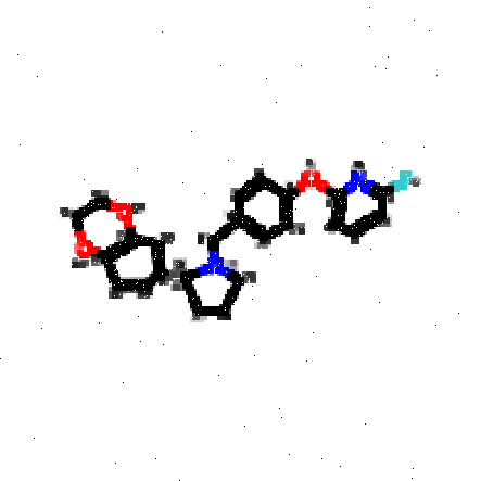 Fc1cccc(Oc2ccc(CN3CCC[C@@H]3c3ccc4c(c3)OCCO4)cc2)n1